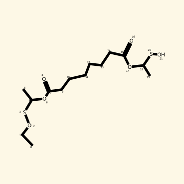 CCOSC(C)OC(=O)CCCCCCC(=O)OC(C)SO